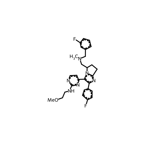 COCCNc1nccc(-c2c(-c3ccc(F)cc3)nc3n2C(CN(C)Cc2cccc(F)c2)CC3)n1